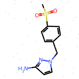 CS(=O)(=O)c1ccc(Cn2ccc(N)n2)cc1